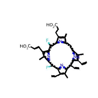 C=CC1=C(C)c2nc1c(F)c1[nH]c(c(F)c3nc(cc4[nH]c(c2C=C)c(C=C)c4C)C(C)=C3CCC(=O)O)c(CCC(=O)O)c1C